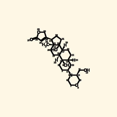 C[C@]12CC[C@H](N3CCOC[C@@H]3CO)C[C@H]1CC[C@@H]1[C@@H]2CC[C@]2(C)[C@@H](C3=CC(=O)OC3)CC[C@]12O